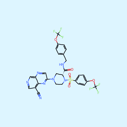 N#Cc1cncc2ncc(N3CCN(S(=O)(=O)c4ccc(OC(F)(F)F)cc4)[C@@H](C(=O)NCc4ccc(OC(F)(F)F)cc4)C3)nc12